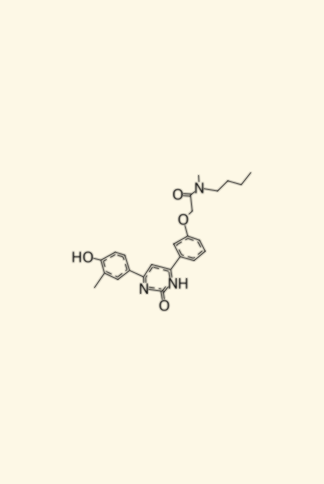 CCCCN(C)C(=O)COc1cccc(-c2cc(-c3ccc(O)c(C)c3)nc(=O)[nH]2)c1